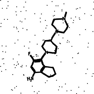 CN1CCN(C2CCN(c3c(F)cc(N)c4c3CCC4)CC2)CC1